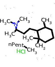 CC1CCCC(C)(C)C1CCC(C)N(C)C.CCCCCC.Cl